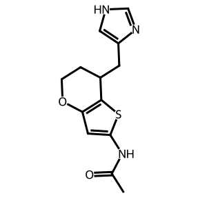 CC(=O)Nc1cc2c(s1)C(Cc1c[nH]cn1)CCO2